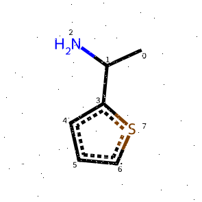 CC(N)c1cc[c]s1